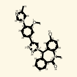 COc1cc(-c2cn(C3c4ccccc4C(=O)N(C)c4ccc(Cl)cc43)nn2)ccc1-n1cnc(C)c1